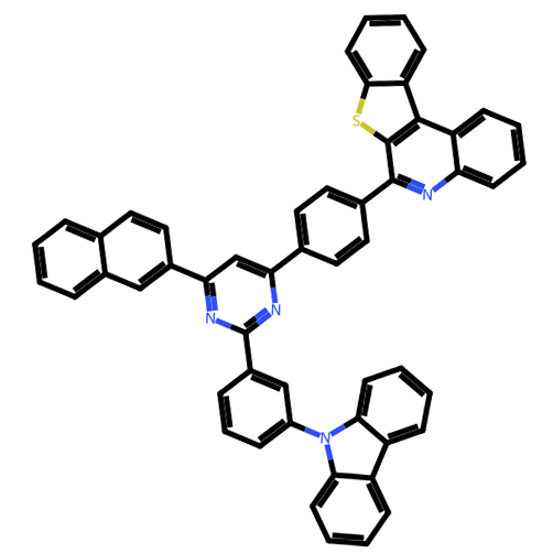 c1cc(-c2nc(-c3ccc(-c4nc5ccccc5c5c4sc4ccccc45)cc3)cc(-c3ccc4ccccc4c3)n2)cc(-n2c3ccccc3c3ccccc32)c1